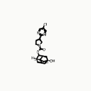 O=C(OC1C2CC3C[C@H]1C[C@@](O)(C3)C2)N1CCC(c2ncc(Cl)cn2)C1